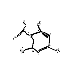 CC(=O)N1C(Cl)=CC(N)=CC1N